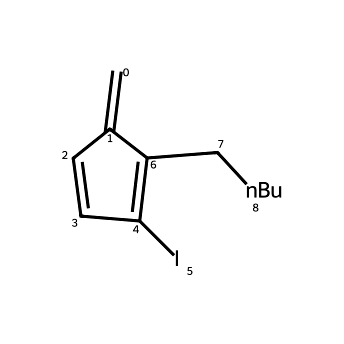 C=C1C=CC(I)=C1CCCCC